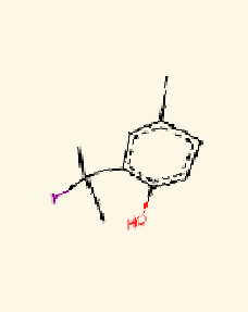 Cc1ccc(O)c(C(C)(C)I)c1